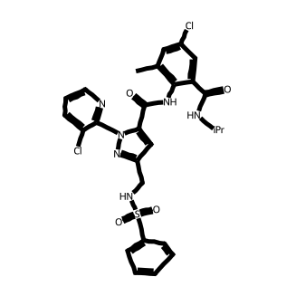 Cc1cc(Cl)cc(C(=O)NC(C)C)c1NC(=O)c1cc(CNS(=O)(=O)c2ccccc2)nn1-c1ncccc1Cl